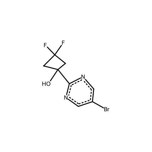 OC1(c2ncc(Br)cn2)CC(F)(F)C1